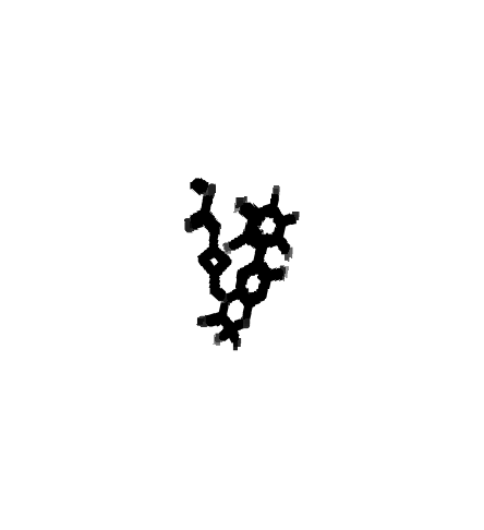 COC(=O)CC1CC(CN2C(=O)C(F)(F)Oc3cc(F)c(-c4c(F)c(F)c(F)c(F)c4F)cc32)C1